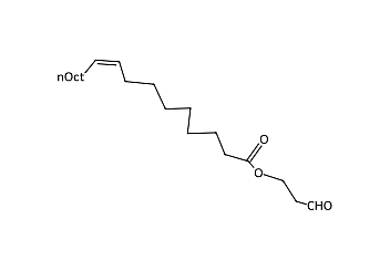 CCCCCCCC/C=C\CCCCCCCC(=O)OCCC=O